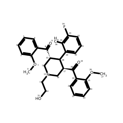 COc1ccccc1C(=O)[C@H]1CN(CCO)C[C@H](C(=O)c2ccccc2OC)C1c1cccc(F)c1C